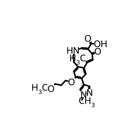 COCCCOc1cc2c(cc1-c1cnn(C)c1)/C(C)=C/C(=O)/C(C(=O)O)=C\NCC2